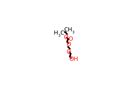 CC(C)COC(=O)COCCOCCO